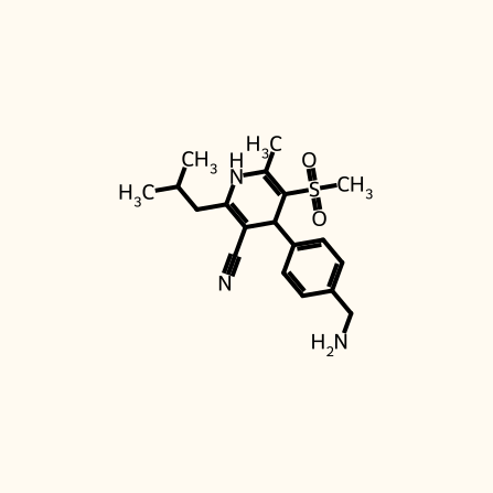 CC1=C(S(C)(=O)=O)C(c2ccc(CN)cc2)C(C#N)=C(CC(C)C)N1